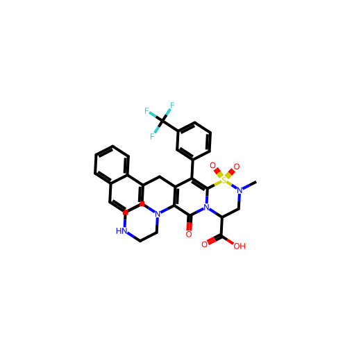 CN1CC(C(=O)O)n2c(c(-c3cccc(C(F)(F)F)c3)c(Cc3cccc4ccccc34)c(N3CCNCC3)c2=O)S1(=O)=O